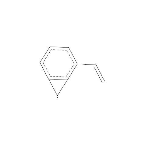 C=Cc1cccc2c1[CH]2